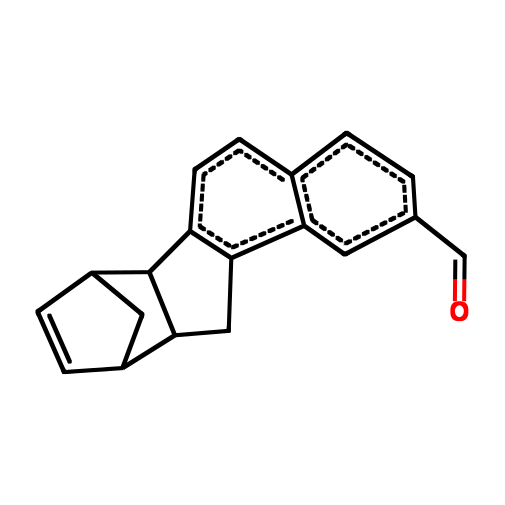 O=Cc1ccc2ccc3c(c2c1)CC1C2C=CC(C2)C31